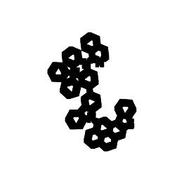 c1ccc([Si]2(c3ccccc3)c3ccccc3N(c3nccc4ccccc34)c3ccc(-c4ccc5c(c4)c4ccccc4n5-c4cc5c6c(cc7ccc8cccc4c8c75)sc4ccccc46)cc32)cc1